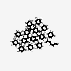 C=C/C=C\C=C(/C)N(c1ccccc1)c1cc2c3c(c1)N(c1ccccc1)c1cc4c(cc1B3c1cc3c(cc1N2c1ccccc1)N(c1ccccc1)c1cc(N(c2ccccc2)c2ccccc2)cc2c1B3c1ccccc1N2c1ccccc1)C(C)(C)c1ccccc1N4c1ccccc1